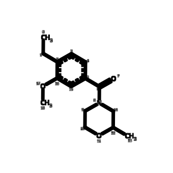 CCc1ccc(C(=O)N2CCOC(C)C2)cc1OC